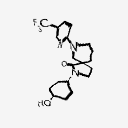 O=C1N([C@H]2CC[C@H](O)CC2)CC[C@@]12CCCN(c1ccc(C(F)(F)F)cn1)C2